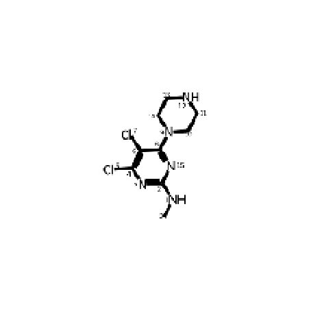 CNc1nc(Cl)c(Cl)c(N2CCNCC2)n1